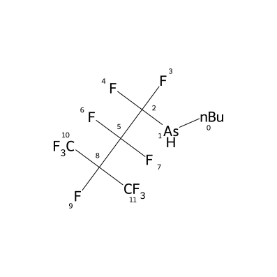 CCCC[AsH]C(F)(F)C(F)(F)C(F)(C(F)(F)F)C(F)(F)F